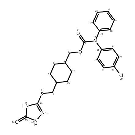 O=C(OCC1CCC(CSc2n[nH]c(=O)[nH]2)CC1)N(c1ccccc1)c1ccc(Cl)cc1